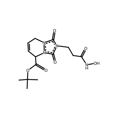 CC(C)(C)OC(=O)C1C=CCn2c(=O)n(CCC(=O)NO)c(=O)n21